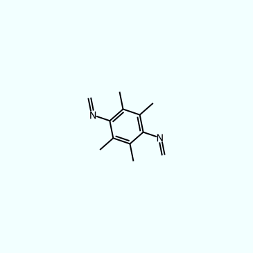 C=Nc1c(C)c(C)c(N=C)c(C)c1C